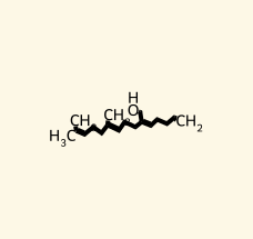 C=CCC/C=C(\CO)CC/C=C(\C)CCC=C(C)C